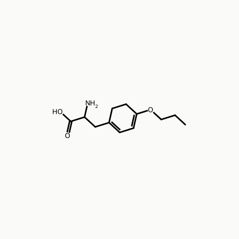 CCCOC1=CC=C(CC(N)C(=O)O)CC1